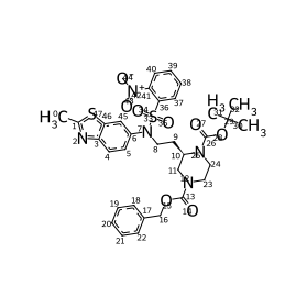 Cc1nc2ccc(N(CC[C@@H]3CN(C(=O)OCc4ccccc4)CCN3C(=O)OC(C)(C)C)S(=O)(=O)c3ccccc3[N+](=O)[O-])cc2s1